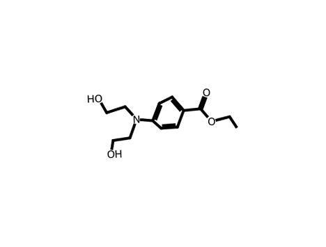 CCOC(=O)c1ccc(N(CCO)CCO)cc1